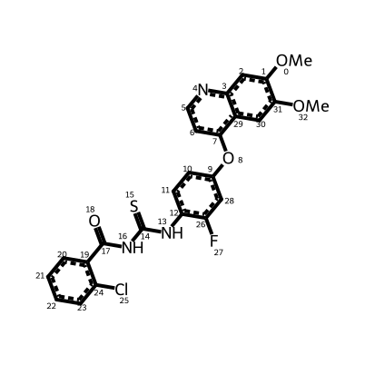 COc1cc2nccc(Oc3ccc(NC(=S)NC(=O)c4ccccc4Cl)c(F)c3)c2cc1OC